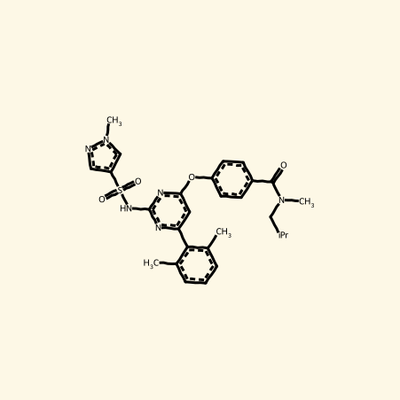 Cc1cccc(C)c1-c1cc(Oc2ccc(C(=O)N(C)CC(C)C)cc2)nc(NS(=O)(=O)c2cnn(C)c2)n1